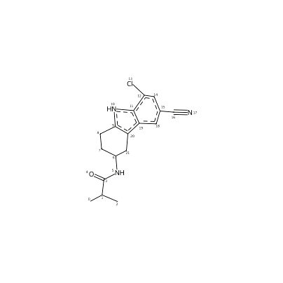 CC(C)C(=O)NC1CCc2[nH]c3c(Cl)cc(C#N)cc3c2C1